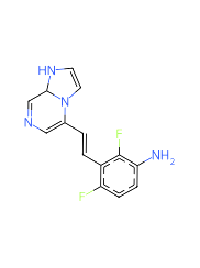 Nc1ccc(F)c(C=CC2=CN=CC3NC=CN23)c1F